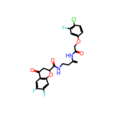 C=C(CCNC(=O)C1CC(=O)c2cc(F)c(F)cc2O1)NC(=O)COc1ccc(Cl)c(F)c1